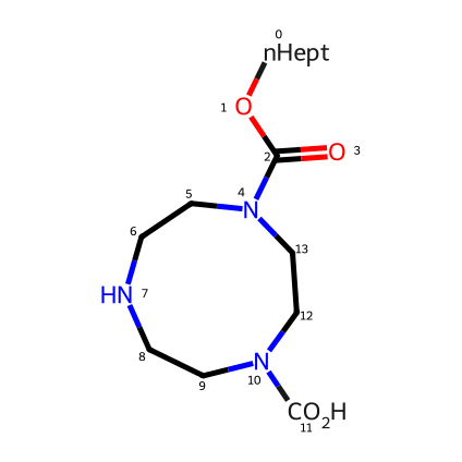 CCCCCCCOC(=O)N1CCNCCN(C(=O)O)CC1